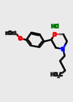 CCCCCCCCOc1ccc(C2CN(CCCC(=O)O)CCO2)cc1.Cl